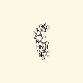 CS(=O)(=O)Oc1scc2cnc(C(=O)N[C@H]3CN4CCC3CC4)cc12